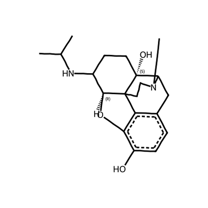 CC(C)NC1CC[C@@]2(O)C3Cc4ccc(O)c5c4C2(CCN3C)[C@H]1O5